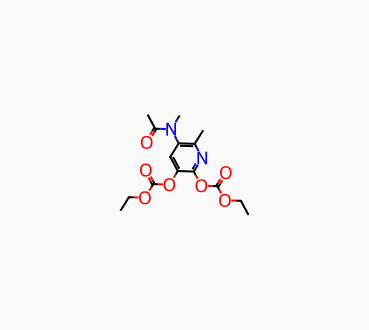 CCOC(=O)Oc1cc(N(C)C(C)=O)c(C)nc1OC(=O)OCC